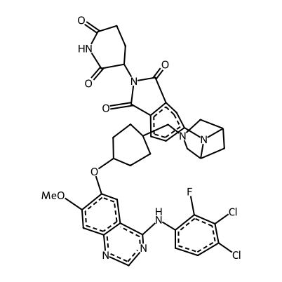 COc1cc2ncnc(Nc3ccc(Cl)c(Cl)c3F)c2cc1OC1CCC(CN2CC3CC(C2)N3c2ccc3c(c2)C(=O)N(C2CCC(=O)NC2=O)C3=O)CC1